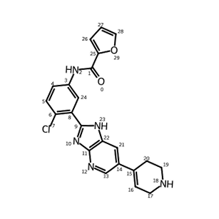 O=C(Nc1ccc(Cl)c(-c2nc3ncc(C4=CCNCC4)cc3[nH]2)c1)c1ccco1